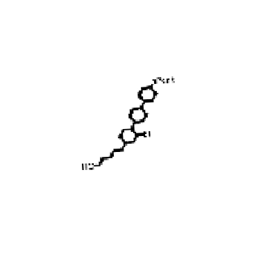 CCCCCC1CCC(C2CCC(C3CCC(CCCCCO)CC3CC)CC2)CC1